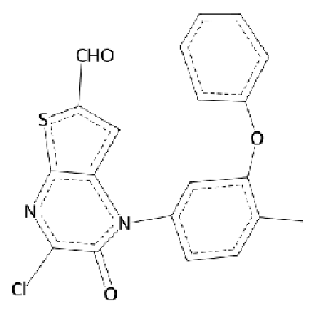 Cc1ccc(-n2c(=O)c(Cl)nc3sc(C=O)cc32)cc1Oc1ccccc1